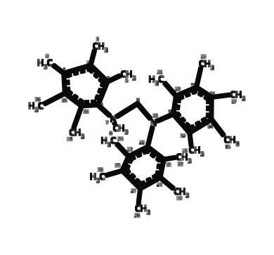 Cc1c(C)c(C)c(N(C)CN(c2c(C)c(C)c(C)c(C)c2C)c2c(C)c(C)c(C)c(C)c2C)c(C)c1C